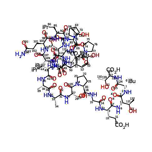 CC[C@H](C)[C@H](NC(=O)[C@@H](NC(=O)[C@H](CCC(=O)O)NC(=O)CNC(=O)[C@@H]1CCCN1C(=O)[C@H](CO)NC(=O)[C@H](C)NC(=O)[C@H](C)NC(=O)[C@H](CC(C)C)NC(=O)[C@H](Cc1ccc(O)cc1)NC(=O)[C@H](CO)NC(=O)[C@@H]1CCCN1C(=O)[C@@H]1CCCN1C(=O)[C@H](CCC(N)=O)NC(=O)[C@@H](NC(=O)[C@H](CC(C)C)NC(=O)[C@H](CCC(N)=O)NC(=O)[C@@H](NC(=O)[C@@H](N)CC(=O)O)[C@@H](C)CC)[C@@H](C)O)[C@@H](C)O)C(=O)N[C@H](C(=O)O)[C@@H](C)O